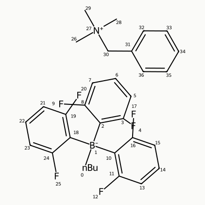 CCCC[B-](c1c(F)cccc1F)(c1c(F)cccc1F)c1c(F)cccc1F.C[N+](C)(C)Cc1ccccc1